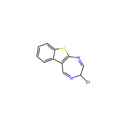 CCC1C=Nc2sc3ccccc3c2C=N1